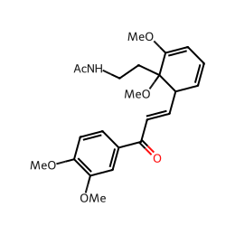 COC1=CC=CC(C=CC(=O)c2ccc(OC)c(OC)c2)C1(CCNC(C)=O)OC